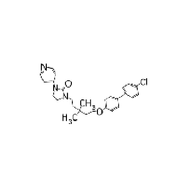 CC(C)(CCOc1ccc(-c2ccc(Cl)cc2)cc1)CCN1CCN(c2ccncc2)C1=O